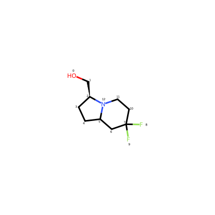 OC[C@@H]1CCC2CC(F)(F)CCN21